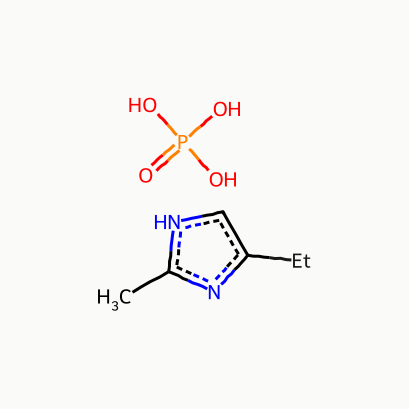 CCc1c[nH]c(C)n1.O=P(O)(O)O